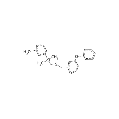 Cc1cccc([Si](C)(C)CSCc2cccc(Oc3ccccc3)c2)c1